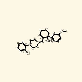 COc1cccc(C2(O)CCCCC2CN2CCN(c3ccccc3Cl)CC2)c1